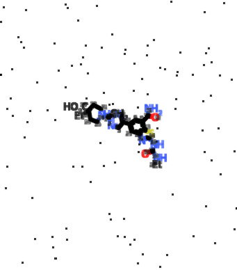 C=C(/N=C\C(=C/N)c1cc(C(N)=O)c2sc(NC(=O)NCC)nc2c1)N1CCC(CC)(C(=O)O)CC1